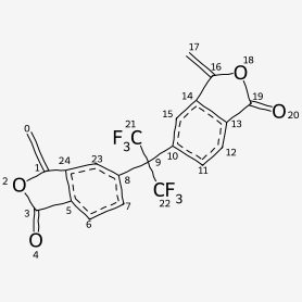 C=C1OC(=O)c2ccc(C(c3ccc4c(c3)C(=C)OC4=O)(C(F)(F)F)C(F)(F)F)cc21